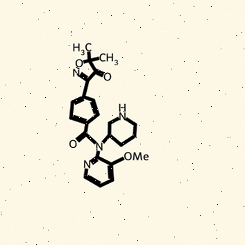 COc1cccnc1N(C(=O)c1ccc(C2=NOC(C)(C)C2=O)cc1)C1CCCNC1